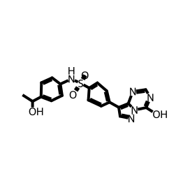 CC(O)c1ccc(NS(=O)(=O)c2ccc(-c3cnn4c(O)ncnc34)cc2)cc1